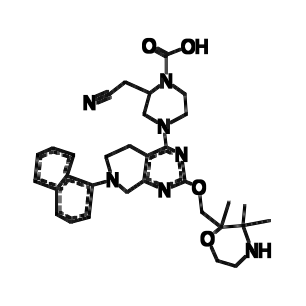 CC1(C)NCCOC1(C)COc1nc2c(c(N3CCN(C(=O)O)C(CC#N)C3)n1)CCN(c1cccc3ccccc13)C2